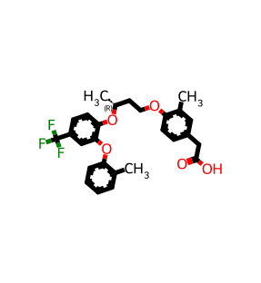 Cc1cc(CC(=O)O)ccc1OCC[C@@H](C)Oc1ccc(C(F)(F)F)cc1Oc1ccccc1C